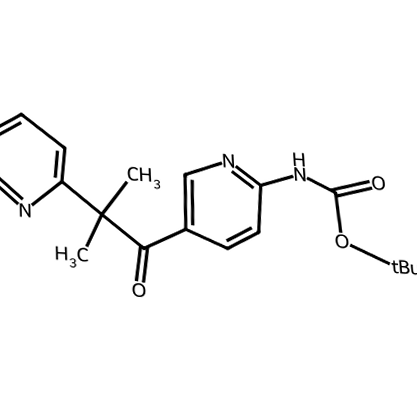 CC(C)(C)OC(=O)Nc1ccc(C(=O)C(C)(C)c2ccccn2)cn1